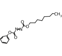 CCCCCCCCOC(=O)/N=N/C(=O)Oc1ccccc1